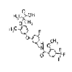 COc1cc(C(F)(F)F)ccc1C(=O)NCc1cc(F)cc(Oc2ccc(OC(C)(C)C(=O)O)c(C)c2)c1